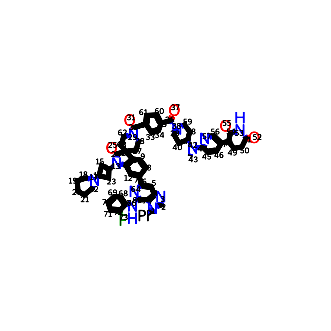 CC(C)n1cnc2cc(-c3ccc4c(c3)N([C@H]3C[C@@H](N5CCCCC5)C3)C(=O)C43CCN(C(=O)c4ccc(C(=O)N5CCC(N(C)c6ccc(C7CCC(=O)NC7=O)cn6)CC5)cc4)CC3)nc(Nc3ccccc3F)c21